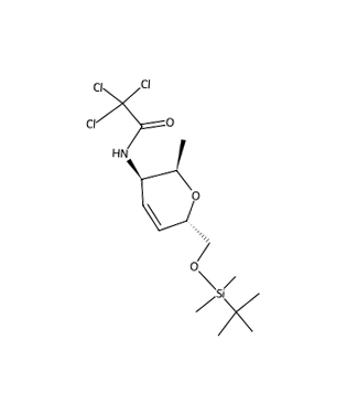 C[C@H]1O[C@H](CO[Si](C)(C)C(C)(C)C)C=C[C@H]1NC(=O)C(Cl)(Cl)Cl